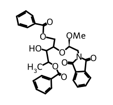 CO[C@@H](CN1C(=O)c2ccccc2C1=O)OC(COC(=O)c1ccccc1)C(O)C(C)OC(=O)c1ccccc1